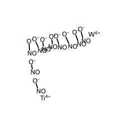 O=N[O-].O=N[O-].O=N[O-].O=N[O-].O=N[O-].O=N[O-].O=N[O-].O=N[O-].O=N[O-].O=N[O-].[Ti+4].[W+6]